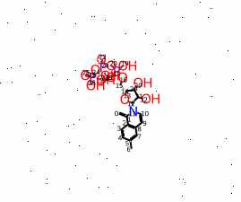 C=C1c2ccc(C)cc2C=CN1[C@@H]1O[C@H](COP(=O)(O)OP(=O)(O)OP(=O)(O)O)[C@H](O)C1O